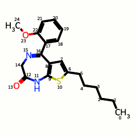 CCCCCCc1cc2c(s1)NC(=O)CN=C2c1ccccc1OC